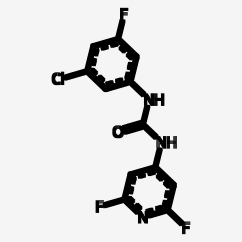 O=C(Nc1cc(F)cc(Cl)c1)Nc1cc(F)nc(F)c1